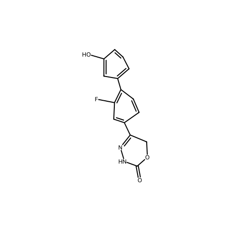 O=C1NN=C(c2ccc(-c3cccc(O)c3)c(F)c2)CO1